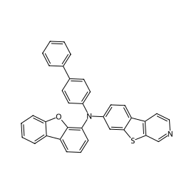 c1ccc(-c2ccc(N(c3ccc4c(c3)sc3cnccc34)c3cccc4c3oc3ccccc34)cc2)cc1